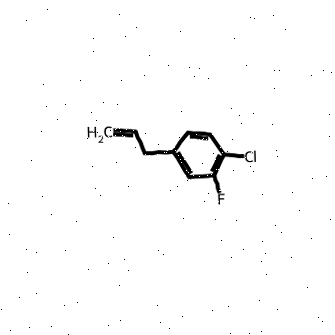 C=CCc1ccc(Cl)c(F)c1